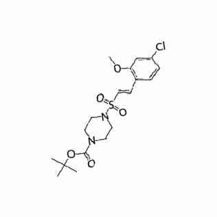 COc1cc(Cl)ccc1C=CS(=O)(=O)N1CCN(C(=O)OC(C)(C)C)CC1